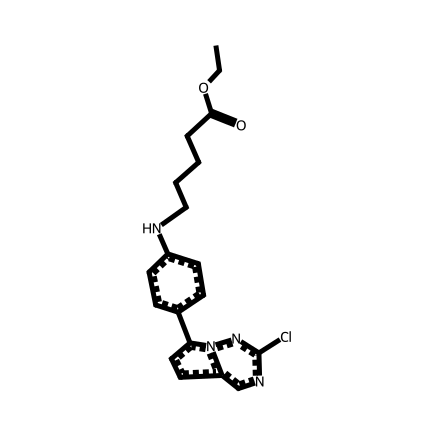 CCOC(=O)CCCCNc1ccc(-c2ccc3cnc(Cl)nn23)cc1